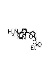 CCC(=O)OCC1CCC(c2ccc3c(N)ncnn23)O1